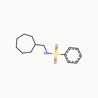 O=S(=O)(NCC1CCCCCC1)c1ccccc1